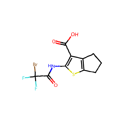 O=C(O)c1c(NC(=O)C(F)(F)Br)sc2c1CCC2